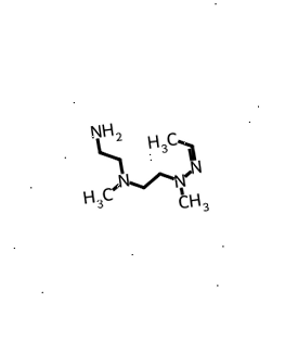 C/C=N\N(C)CCN(C)CCN